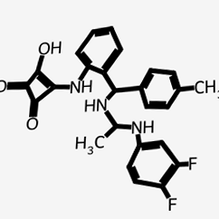 Cc1ccc(C(NC(C)Nc2ccc(F)c(F)c2)c2ccccc2Nc2c(O)c(=O)c2=O)cc1